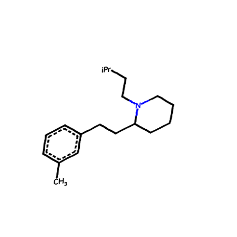 Cc1cccc(CCC2CCCCN2CCC(C)C)c1